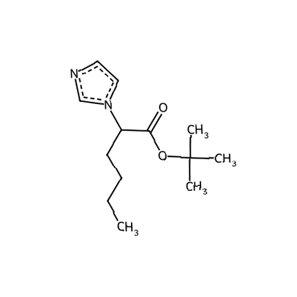 CCCCC(C(=O)OC(C)(C)C)n1ccnc1